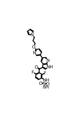 CCCS(=O)(=O)Nc1ccc(F)c(C(=O)c2c[nH]c3ncc(-c4ccc(OCCCn5cccc5)nc4)cc23)c1F